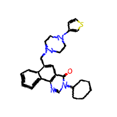 O=c1c2cc(CN3CCN(c4ccsc4)CC3)c3ccccc3c2ncn1C1CCCCC1